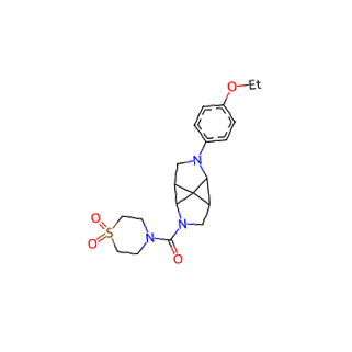 CCOc1ccc(N2CC3C4N(C(=O)N5CCS(=O)(=O)CC5)CC5C2C354)cc1